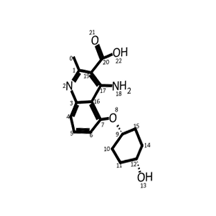 Cc1nc2cccc(O[C@H]3CC[C@@H](O)CC3)c2c(N)c1C(=O)O